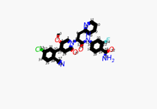 COc1cn(C(Cc2ccccn2)C(=O)Nc2ccc(C(N)=O)c(F)c2)c(=O)cc1-c1cc(Cl)ccc1C#N